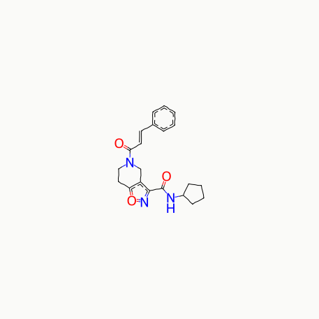 O=C(NC1CCCC1)c1noc2c1CN(C(=O)C=Cc1ccccc1)CC2